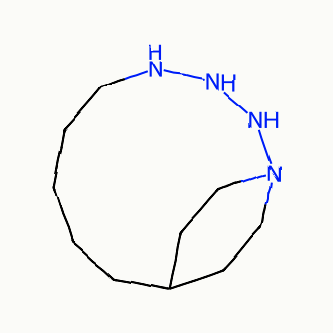 C1CCNNNN2CCC(CC1)CC2